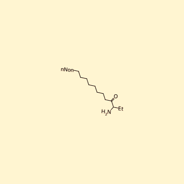 [CH2]CC(N)C(=O)CCCCCCCCCCCCCCCCC